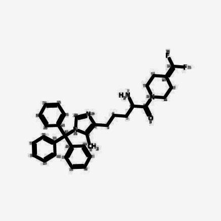 Cc1c(CCCC(N)C(=O)N2CCC(=C(F)F)CC2)ncn1C(c1ccccc1)(c1ccccc1)c1ccccc1